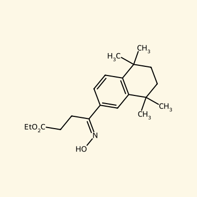 CCOC(=O)CCC(=NO)c1ccc2c(c1)C(C)(C)CCC2(C)C